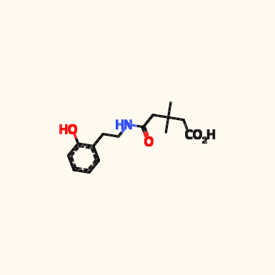 CC(C)(CC(=O)O)CC(=O)NCCc1ccccc1O